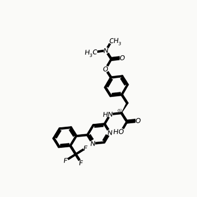 CN(C)C(=O)Oc1ccc(C[C@H](Nc2cc(-c3ccccc3C(F)(F)F)ncn2)C(=O)O)cc1